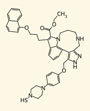 CCOC(=O)c1c(CCCOc2cccc3ccccc23)c2cccc3c2n1CCCNCc1n[nH]c(COc2ccc(N4CCN(S)CC4)cc2)c1-3